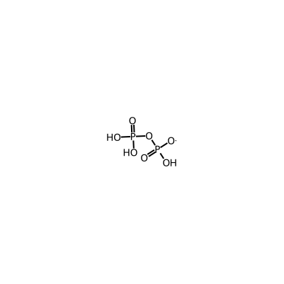 [O]P(=O)(O)OP(=O)(O)O